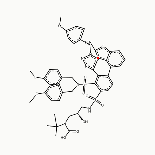 COc1ccc(CN(Cc2ccc(OC)cc2)S(=O)(=O)c2c(S(=O)(=O)NC[C@@H](O)CN(C(=O)O)C(C)(C)C)ccc(-c3cccc4sc(N)nc34)c2-c2nnn(Cc3ccc(OC)cc3)n2)cc1